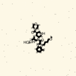 COCCCCn1c(C(=O)N(CC(C)C)[C@@H]2CNC[C@H](C(=O)N3CCOCC3)C2)nc2cccc(F)c21.Cl.Cl